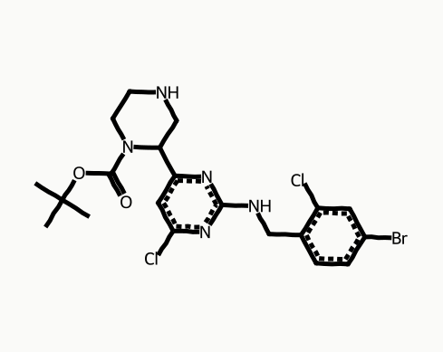 CC(C)(C)OC(=O)N1CCNCC1c1cc(Cl)nc(NCc2ccc(Br)cc2Cl)n1